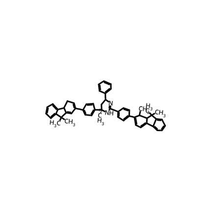 CC1C(c2ccc(C3=NC(c4ccccc4)C[C@](C)(c4ccc(C5=CCC6C(=C5)C(C)(C)c5ccccc56)cc4)N3)cc2)=CC=C2c3ccccc3C(C)(C)C21